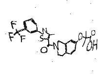 Cc1nc(-c2cccc(C(F)(F)F)c2)sc1C(=O)N1CCc2ccc(OC(C)(C)C(=O)O)cc2C1